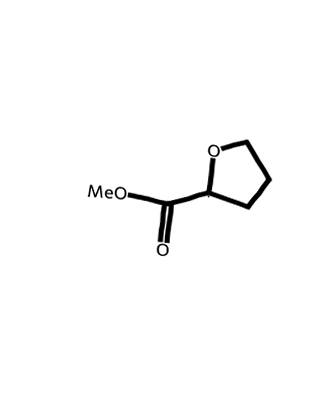 COC(=O)[C]1CCCO1